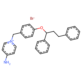 Nc1cc[n+](Cc2ccc(OC(CCc3ccccc3)c3ccccc3)cc2)cc1.[Br-]